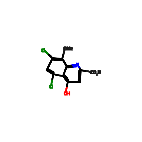 COc1c(Cl)cc(Cl)c2c(O)cc(C(=O)O)nc12